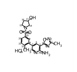 Cc1noc(-c2cc(-c3cc(S(=O)(=O)N4CCC(O)C4)ccc3C)cnc2N)n1.Cl